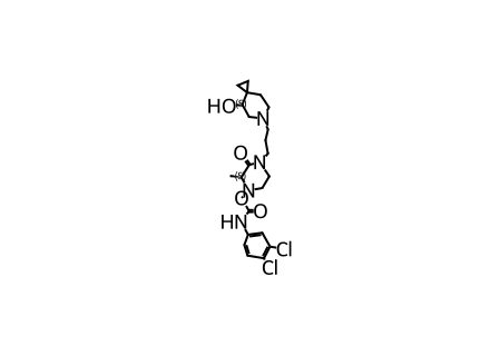 C[C@H]1C(=O)N(CCCN2CCC3(CC3)[C@H](O)C2)CCN1OC(=O)Nc1ccc(Cl)c(Cl)c1